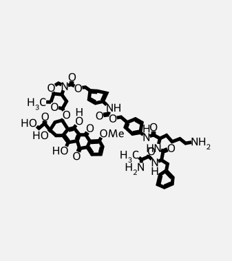 COc1cccc2c1C(=O)c1c(O)c3c(c(O)c1C2=O)CC(O)(C(=O)CO)CC3OC1CC2C(OCN2C(=O)OCc2ccc(NC(=O)OCc3ccc(NC(=O)C(CCCCN)NC(=O)C(Cc4ccccc4)NC(=O)C(C)N)cc3)cc2)C(C)O1